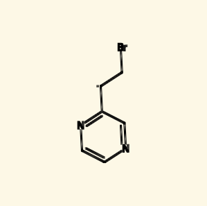 BrC[CH]c1cnccn1